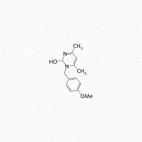 COc1ccc(CN2C(C)=CC(C)=NC2O)cc1